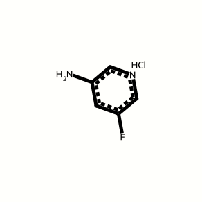 Cl.Nc1cncc(F)c1